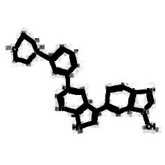 Cn1cnc2ccc(-c3c[nH]c4ncc(-c5cccc(N6CCOCC6)c5)cc34)cc21